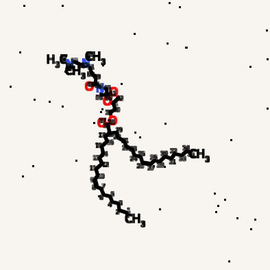 CCCCCCCC/C=C\CCCCCCCCC(CCCCCCC/C=C\CCCCCCCC)C(=O)OCCC1COC2(CN(C(=O)CCCN(C)CCN(C)C)C2)O1